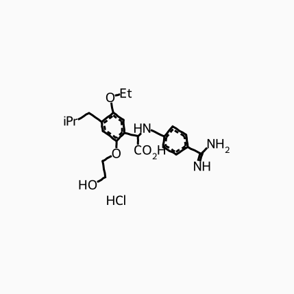 CCOc1cc(C(Nc2ccc(C(=N)N)cc2)C(=O)O)c(OCCO)cc1CC(C)C.Cl